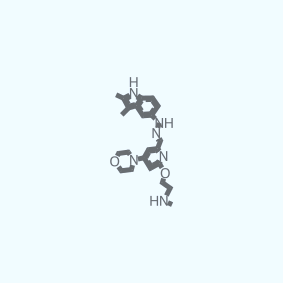 CNCCOc1cc(N2CCOCC2)cc(C=NNc2ccc3[nH]c(C)c(C)c3c2)n1